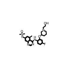 Cc1cc(N=S(C)(C)=O)cc2ncnc(Nc3ccc(F)cc3O[C@@H]3CCCN(CCO)C3)c12